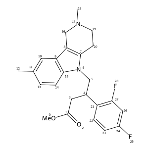 COC(=O)CC(Cn1c2c(c3cc(C)ccc31)CN(C)CC2)c1ccc(F)cc1F